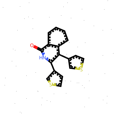 O=c1[nH]c(-c2ccsc2)c(-c2ccsc2)c2ccccc12